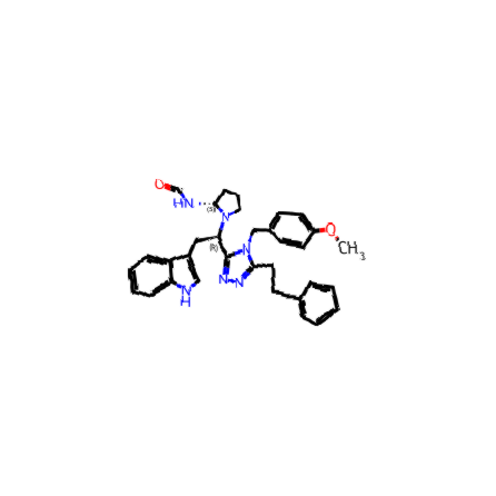 COc1ccc(Cn2c(CCc3ccccc3)nnc2[C@@H](Cc2c[nH]c3ccccc23)N2CCC[C@H]2N[C]=O)cc1